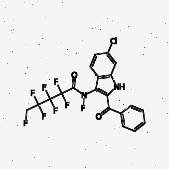 O=C(c1ccccc1)c1[nH]c2cc(Cl)ccc2c1N(F)C(=O)C(F)(F)C(F)(F)C(F)(F)CF